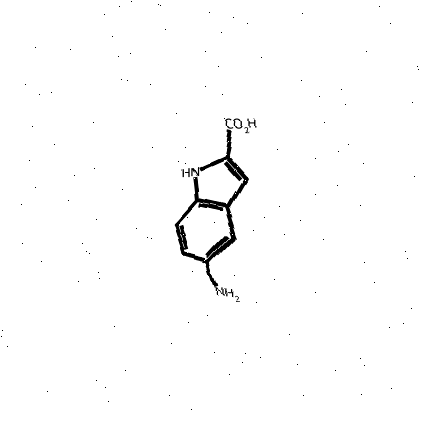 Nc1ccc2[nH]c(C(=O)O)cc2c1